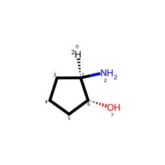 [2H][C@@]1(N)CCC[C@H]1O